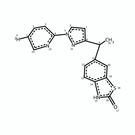 [2H]c1ccc(-n2ccc(C(C)c3ccc4[nH]c(=O)sc4c3)n2)nc1